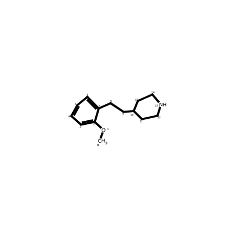 COc1ccccc1[CH]CC1CCNCC1